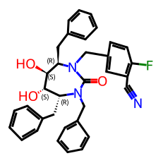 N#Cc1cc(CN2C(=O)N(Cc3ccccc3)[C@H](Cc3ccccc3)[C@H](O)[C@@H](O)[C@H]2Cc2ccccc2)ccc1F